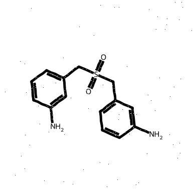 Nc1cccc(CS(=O)(=O)Cc2cccc(N)c2)c1